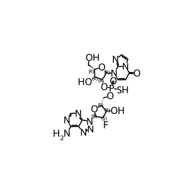 Nc1ncnc2c1nnn2[C@@H]1O[C@H](COP(=O)(S)O[C@@H]2[C@H](O)[C@@H](CO)O[C@H]2n2ccc(=O)n3ccnc23)[C@@H](O)[C@@H]1F